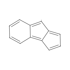 [C]1=c2ccccc2=C2C=CC=C12